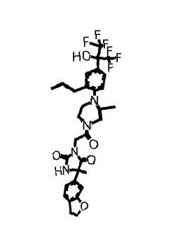 CCCc1cc(C(O)(C(F)(F)F)C(F)(F)F)ccc1N1CCN(C(=O)CN2C(=O)NC(C)(c3ccc4c(c3)OCC4)C2=O)CC1C